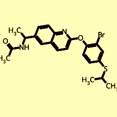 CC(=O)NC(C)c1ccc2nc(Oc3ccc(SC(C)C)cc3Br)ccc2c1